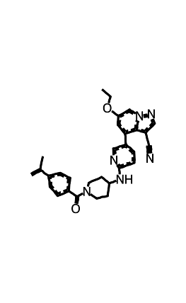 C=C(C)c1ccc(C(=O)N2CCC(Nc3ccc(-c4cc(OCC)cn5ncc(C#N)c45)cn3)CC2)cc1